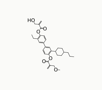 C=C(CO)C(=O)Oc1ccc(-c2ccc(OC(=O)C(=C)COC)c(C3CCC(CCC)CC3)c2)cc1CC